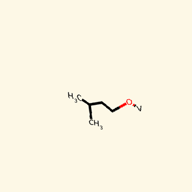 CC(C)CC[O][V]